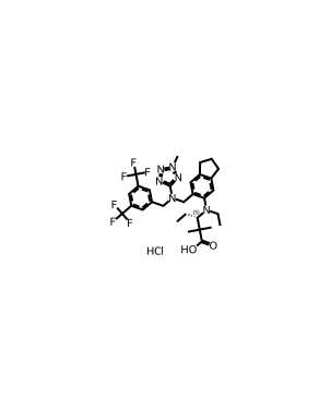 CC[C@H](N(CC)c1cc2c(cc1CN(Cc1cc(C(F)(F)F)cc(C(F)(F)F)c1)c1nnn(C)n1)CCC2)C(C)(C)C(=O)O.Cl